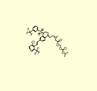 CC(C)OC(=O)OCOC(=O)CN(C)CCN1CCN(S(=O)(=O)c2cccc(C(F)(F)F)c2)c2cc(/C=C/c3c(Cl)cccc3C(F)(F)F)ccc21